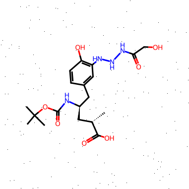 C[C@@H](C[C@H](Cc1ccc(O)c(NNNC(=O)CO)c1)NC(=O)OC(C)(C)C)C(=O)O